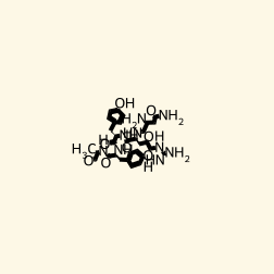 C[C@@H](C=O)NC(=O)[C@H](Cc1ccc(O)cc1)NC(=O)[C@H](Cc1ccc(O)cc1)NC(=O)[C@H](CCCNC(=N)N)NC(=O)[C@@H](N)CC(N)=O